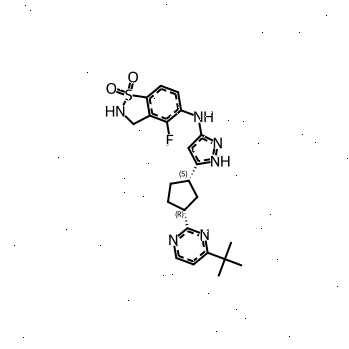 CC(C)(C)c1ccnc([C@@H]2CC[C@H](c3cc(Nc4ccc5c(c4F)CNS5(=O)=O)n[nH]3)C2)n1